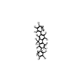 Cc1nnc(-c2c(C)c(C)c3c(c2C)C(C)(C)c2c(C)c(-c4nnc(C)c(C)c4C)c(C)c(C)c2-3)c(C)c1C